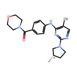 C[C@H]1CCN(c2ncc(C#N)c(Nc3ccc(C(=O)N4CCOCC4)cc3)n2)C1